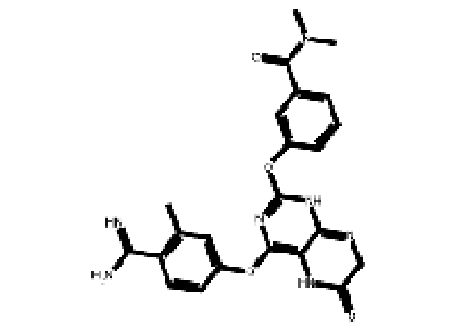 Cc1cc(OC2=C3NC(=O)CN=C3NC(Oc3cccc(C(=O)N(C)C)c3)=N2)ccc1C(=N)N